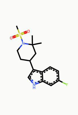 CC1(C)CC(c2c[nH]c3cc(F)ccc23)CCN1S(C)(=O)=O